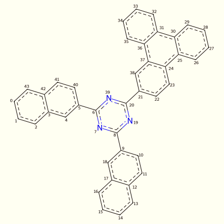 c1ccc2cc(-c3nc(-c4ccc5ccccc5c4)nc(-c4ccc5c6ccccc6c6ccccc6c5c4)n3)ccc2c1